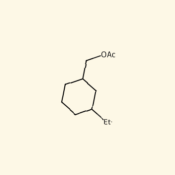 C[CH]C1CCCC(COC(C)=O)C1